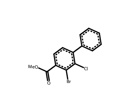 COC(=O)c1ccc(-c2ccccc2)c(Cl)c1Br